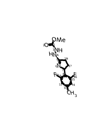 COC(=O)NNC1=NC(c2c(F)cc(C)cc2F)CC1